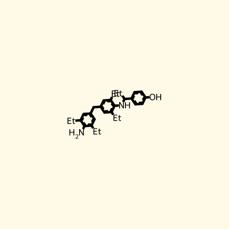 CCc1cc(Cc2cc(CC)c(NC(CC)c3ccc(O)cc3)c(CC)c2)cc(CC)c1N